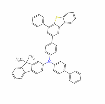 CC1(C)c2ccccc2-c2ccc(N(c3ccc(-c4ccccc4)cc3)c3ccc(-c4cc(-c5ccccc5)c5sc6ccccc6c5c4)cc3)cc21